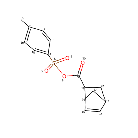 Cc1ccc(S(=O)(=O)OC(=O)C2CC3C=CC2C3)cc1